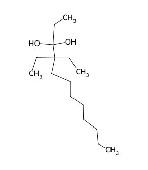 CCCCCCCCC(CC)(CC)C(O)(O)CC